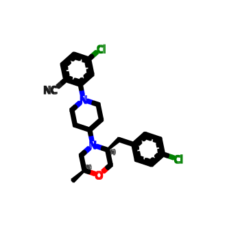 C[C@H]1CN(C2CCN(c3cc(Cl)ccc3C#N)CC2)[C@@H](Cc2ccc(Cl)cc2)CO1